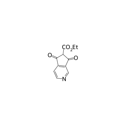 CCOC(=O)C1C(=O)c2ccncc2C1=O